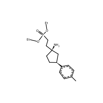 CCOP(=O)(CC[C@@]1(N)CC[C@H](c2ccc(C)cc2)C1)OCC